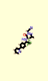 CC(C)C[C@H](N[C@@H](c1ccc(-c2ccccn2)cc1)C(F)(F)F)C(=O)NCC#N